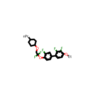 CCCC1CCC(OCC(F)(F)Oc2ccc(-c3ccc(OCC)c(F)c3F)cc2F)CC1